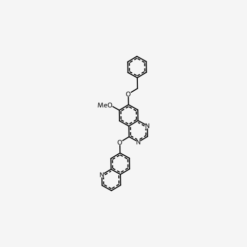 COc1cc2c(Oc3ccc4cccnc4c3)ncnc2cc1OCc1ccccc1